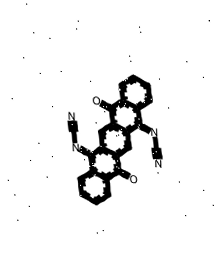 N#CN=c1c2ccccc2c(=O)c2cc3c(=NC#N)c4ccccc4c(=O)c3cc12